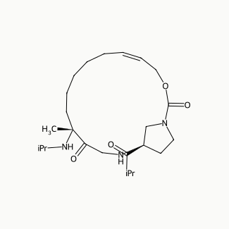 CC(C)N[C@]1(C)CCCCCC=CCOC(=O)N2CC[C@@](C(=O)C(C)C)(C2)NCC1=O